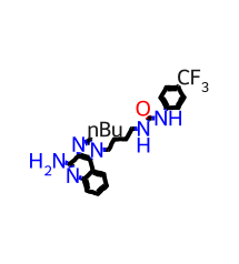 CCCCc1nc2c(N)nc3ccccc3c2n1CCCCNC(=O)Nc1ccc(C(F)(F)F)cc1